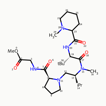 COC(=O)CNC(=O)[C@@H]1CCCN1C[C@H](C(C)C)N(C)C(=O)[C@@H](NC(=O)C1CCCCN1C)C(C)(C)C